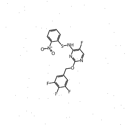 O=[N+]([O-])c1ccccc1SNc1nc(OCc2cc(F)c(F)c(F)c2)ncc1F